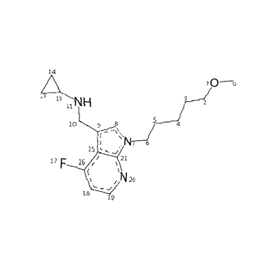 COCCCCCn1cc(CNC2CC2)c2c(F)ccnc21